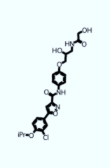 CC(C)Oc1ccc(-c2cc(C(=O)Nc3ccc(OCC(O)CNC(=O)CO)cc3)no2)cc1Cl